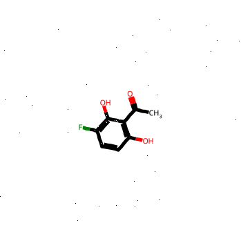 CC(=O)c1c(O)ccc(F)c1O